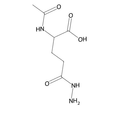 CC(=O)NC(CCC(=O)NN)C(=O)O